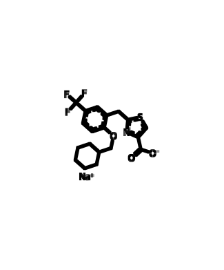 O=C([O-])c1csc(Cc2cc(C(F)(F)F)ccc2OCC2CCCCC2)n1.[Na+]